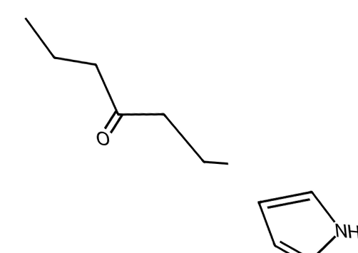 CCCC(=O)CCC.c1cc[nH]c1